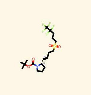 CC(C)(C)OC(=O)N1CCC[C@H]1/C=C/CCS(=O)(=O)CCCC(F)(F)C(F)(F)F